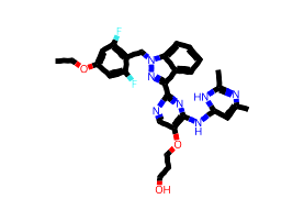 CCOc1cc(F)c(Cn2nc(-c3ncc(OCCCO)c(NC4C=C(C)N=C(C)N4)n3)c3ccccc32)c(F)c1